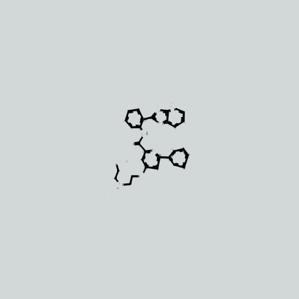 COCCN(C)CCOc1cc(C(=O)Nc2ccccc2-c2nc3cccnc3s2)nc(-c2ccccc2)c1